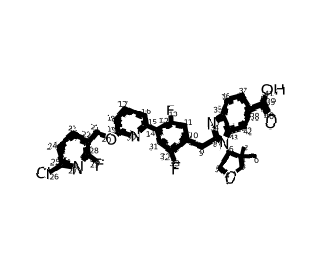 CC1(C)COC[C@H]1n1c(Cc2cc(F)c(-c3cccc(OCc4ccc(Cl)nc4F)n3)cc2F)nc2ccc(C(=O)O)cc21